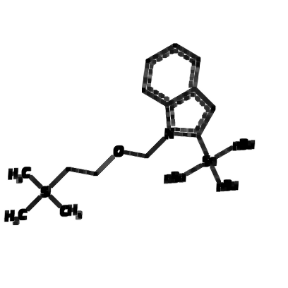 CCC[CH2][Sn]([CH2]CCC)([CH2]CCC)[c]1cc2ccccc2n1COCC[Si](C)(C)C